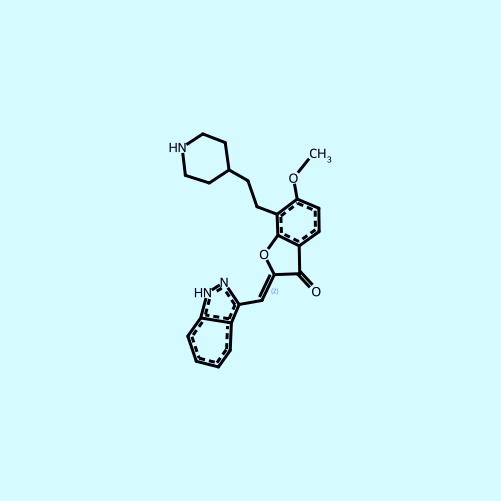 COc1ccc2c(c1CCC1CCNCC1)O/C(=C\c1n[nH]c3ccccc13)C2=O